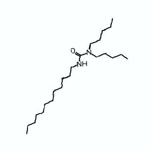 CCCCCCCCCCCCNC(=O)N(CCCCC)CCCCC